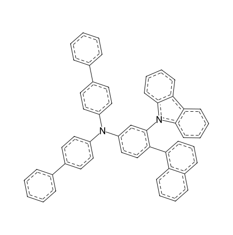 c1ccc(-c2ccc(N(c3ccc(-c4ccccc4)cc3)c3ccc(-c4cccc5ccccc45)c(-n4c5ccccc5c5ccccc54)c3)cc2)cc1